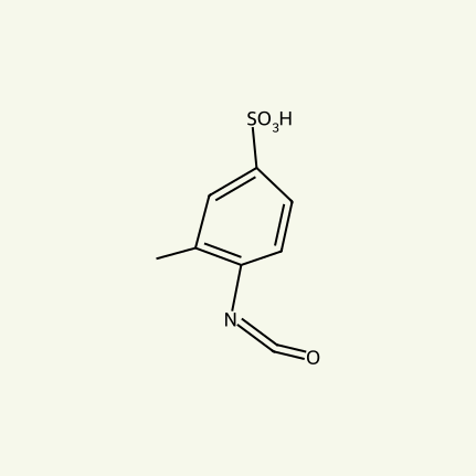 Cc1cc(S(=O)(=O)O)ccc1N=C=O